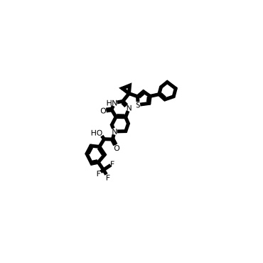 O=C(C(O)c1cccc(C(F)(F)F)c1)N1CCc2nc(C3(c4cc(C5=CCCCC5)cs4)CC3)[nH]c(=O)c2C1